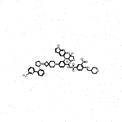 Cc1cccc(-c2ccccc2[C@@H]2CCCN2C2CC3(CCN(c4ccc(C(=O)NS(=O)(=O)c5ccc(NCC6CCOCC6)c([N+](=O)[O-])c5)c(N5c6cc7cc[nH]c7nc6O[C@@H]6COC[C@H]65)c4)CC3)C2)n1